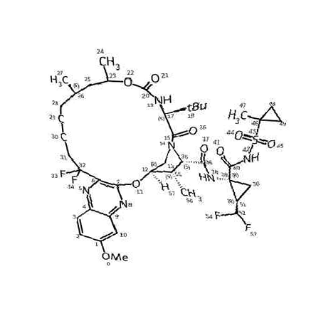 COc1ccc2nc3c(nc2c1)O[C@H]1CN(C(=O)[C@H](C(C)(C)C)NC(=O)OC(C)C[C@H](C)CCCCC3(F)F)[C@H](C(=O)N[C@]2(C(=O)NS(=O)(=O)C3(C)CC3)C[C@H]2C(F)F)[C@@H]1C